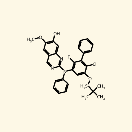 COc1cc2cnc(N(c3ccccc3)c3cc(O[SiH2]C(C)(C)C)c(Cl)c(-c4ccccc4)c3F)nc2cc1O